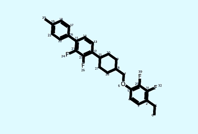 CCc1ccc(OCC2CCC(c3ccc(-c4ccc(C)cc4)c(F)c3F)CC2)c(F)c1F